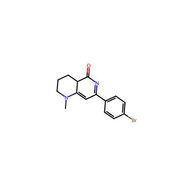 CN1CCCC2C(=O)N=C(c3ccc(Br)cc3)C=C21